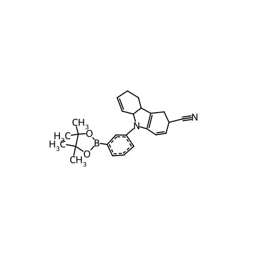 CC1(C)OB(c2cccc(N3C4=C(CC(C#N)C=C4)C4CCC=CC43)c2)OC1(C)C